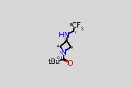 CC(C)(C)C(=O)N1CC(NCC(F)(F)F)C1